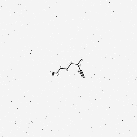 C#CC(C)CCCC([CH2])C